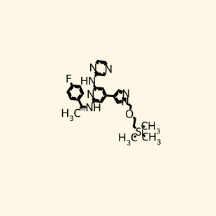 C[C@H](Nc1cc(-c2cnn(COCC[Si](C)(C)C)c2)cc(Nc2cnccn2)n1)c1ccc(F)cc1